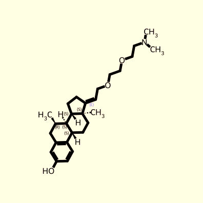 C[C@@H]1Cc2cc(O)ccc2[C@H]2CC[C@]3(C)/C(=C/COCCOCCN(C)C)CC[C@H]3[C@H]12